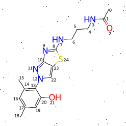 CC(=O)NCCCNc1nc2nn(-c3c(C)cc(C)cc3O)cc2s1